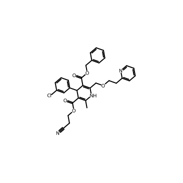 CC1=C(C(=O)OCCC#N)C(c2cccc(Cl)c2)C(C(=O)OCc2ccccc2)=C(COCCc2ccccn2)N1